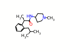 CC(C)Cc1ccccc1[C@@H](C)C(=O)NC1CCN(C)CC1